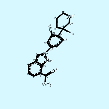 NC(=O)c1cccc2cn(-c3ccc(C4(F)CCCNC4)c(F)c3)nc12